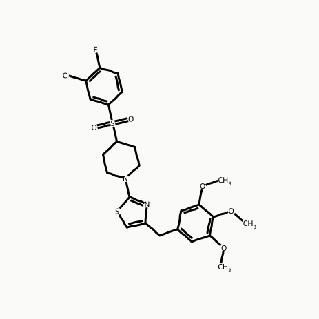 COc1cc(Cc2csc(N3CCC(S(=O)(=O)c4ccc(F)c(Cl)c4)CC3)n2)cc(OC)c1OC